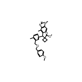 COC(=O)C1(C(c2ccc(C)c(COCc3ccc(OC)cc3)c2)c2ccc3c(nnn3C)c2C)CCC1